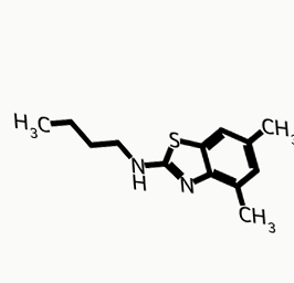 CCCCNc1nc2c(C)cc(C)cc2s1